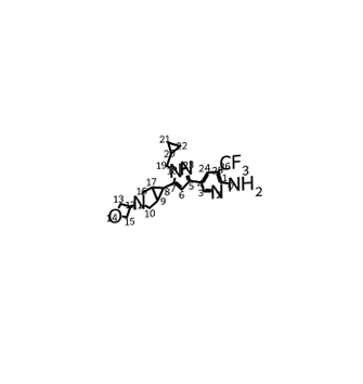 Nc1ncc(-c2cc(C3C4CN(C5COC5)CC43)n(CC3CC3)n2)cc1C(F)(F)F